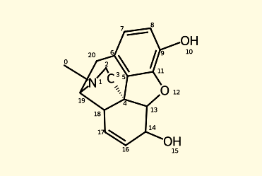 CN1CC[C@]23c4c5ccc(O)c4OC2C(O)C=CC3C1C5